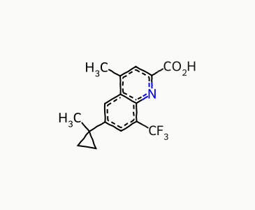 Cc1cc(C(=O)O)nc2c(C(F)(F)F)cc(C3(C)CC3)cc12